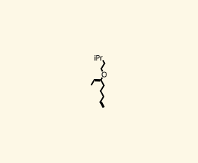 C=CCCCC(=CC)OCCC(C)C